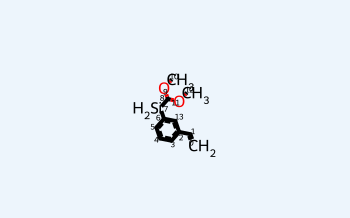 C=Cc1cccc([SiH2]C(OC)OC)c1